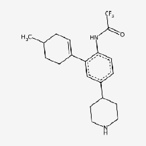 CC1CC=C(c2cc(C3CCNCC3)ccc2NC(=O)C(F)(F)F)CC1